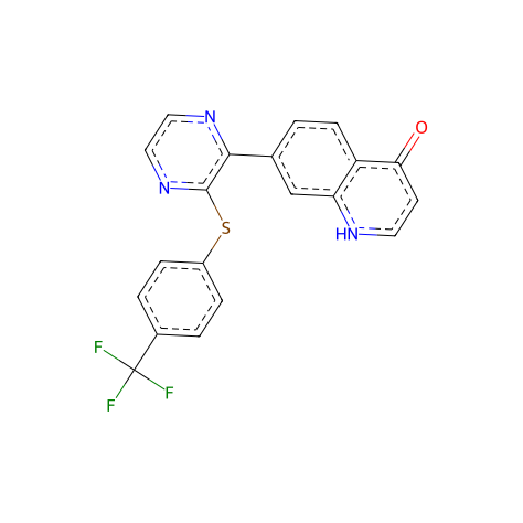 O=c1cc[nH]c2cc(-c3nccnc3Sc3ccc(C(F)(F)F)cc3)ccc12